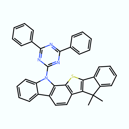 CC1(C)c2ccccc2-c2sc3c(ccc4c5ccccc5n(-c5nc(-c6ccccc6)nc(-c6ccccc6)n5)c43)c21